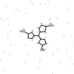 OC1CCC(C(C2CCC(O)C2)C2CCC(O)C2)C1